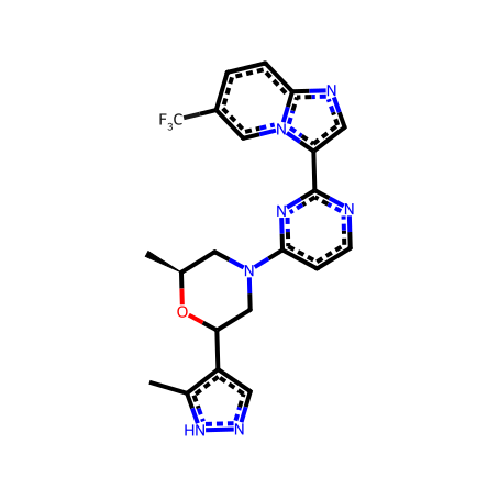 Cc1[nH]ncc1C1CN(c2ccnc(-c3cnc4ccc(C(F)(F)F)cn34)n2)C[C@H](C)O1